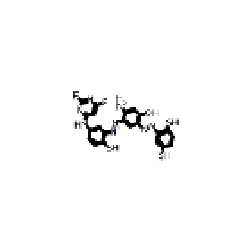 Nc1cc(O)c(/N=N/c2cc(S)ccc2S)cc1/N=N/c1cc(Nc2cc(F)nc(F)n2)ccc1S